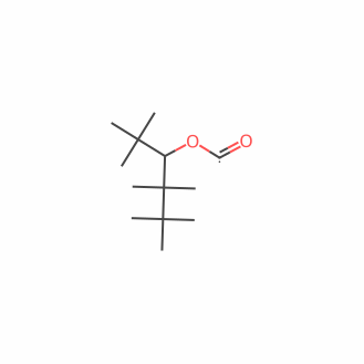 CC(C)(C)C(O[C]=O)C(C)(C)C(C)(C)C